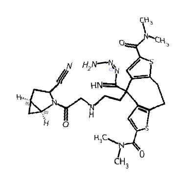 CN(C)C(=O)c1cc2c(s1)CCc1sc(C(=O)N(C)C)cc1C2(CCNCC(=O)N1C(C#N)C[C@@H]2C[C@@H]21)C(=N)/N=N\N